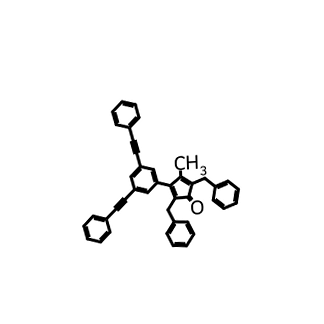 CC1=C(Cc2ccccc2)C(=O)C(Cc2ccccc2)=C1c1cc(C#Cc2ccccc2)cc(C#Cc2ccccc2)c1